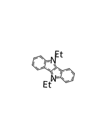 CCn1c2ccccc2c2c1c1ccccc1n2CC